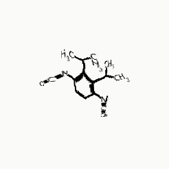 CC(C)c1c(N=C=O)ccc(N=C=O)c1C(C)C